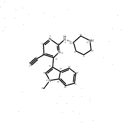 C#Cc1cnc(N[C@H]2CCCNC2)nc1-c1cn(C)c2ccccc12